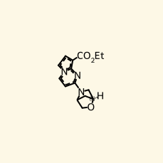 CCOC(=O)c1ccn2ccc(N3C[C@@H]4CC3CO4)nc12